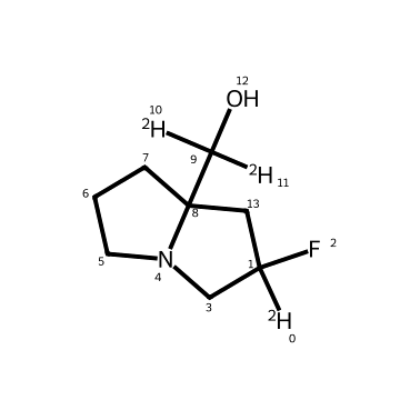 [2H]C1(F)CN2CCCC2(C([2H])([2H])O)C1